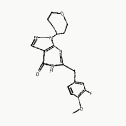 COc1ccc(Cc2nc3c(cnn3C3CCOCC3)c(=O)[nH]2)cc1F